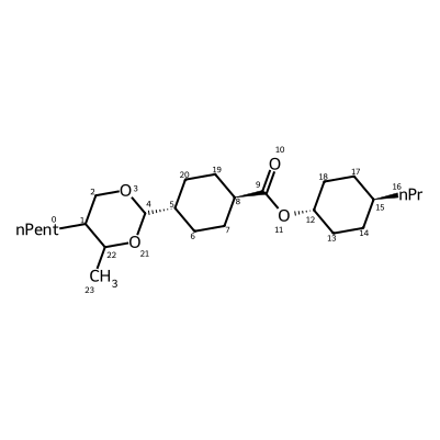 CCCCCC1COC([C@H]2CC[C@H](C(=O)O[C@H]3CC[C@H](CCC)CC3)CC2)OC1C